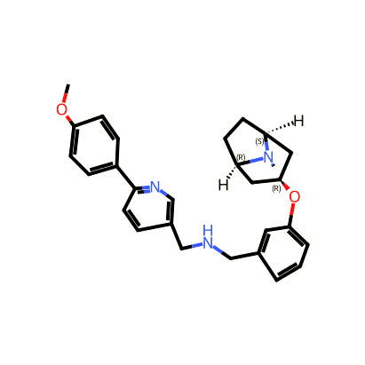 COc1ccc(-c2ccc(CNCc3cccc(O[C@H]4C[C@H]5CC[C@@H](C4)N5C)c3)cn2)cc1